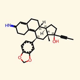 CC#C[C@@]1(O)CC[C@@H]2[C@H]3CCC4=CC(=N)CCC4=C3[C@H](c3ccc4c(c3)OCO4)C[C@]21C